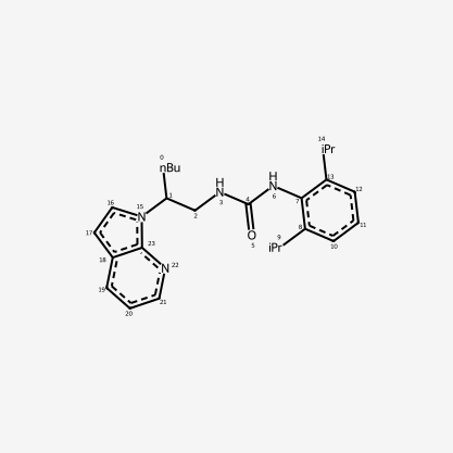 CCCCC(CNC(=O)Nc1c(C(C)C)cccc1C(C)C)n1ccc2cccnc21